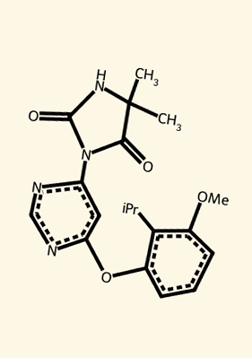 COc1cccc(Oc2cc(N3C(=O)NC(C)(C)C3=O)ncn2)c1C(C)C